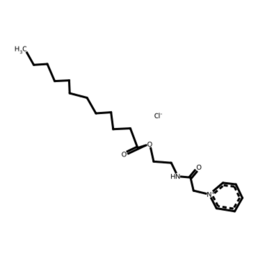 CCCCCCCCCCCC(=O)OCCNC(=O)C[n+]1ccccc1.[Cl-]